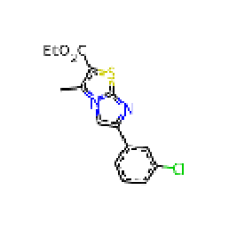 CCOC(=O)c1sc2nc(-c3cccc(Cl)c3)cn2c1C